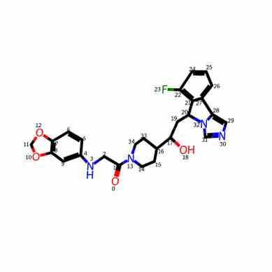 O=C(CNc1ccc2c(c1)OCO2)N1CCC(C(O)CC2c3c(F)cccc3-c3cncn32)CC1